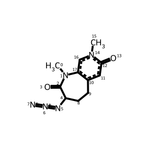 CN1C(=O)C(N=[N+]=[N-])CCc2cc(=O)n(C)cc21